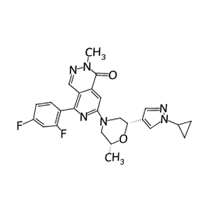 C[C@@H]1CN(c2cc3c(=O)n(C)ncc3c(-c3ccc(F)cc3F)n2)C[C@H](c2cnn(C3CC3)c2)O1